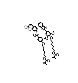 C=C(C)C(=O)OCCCCCCOc1c(OC)cc(-c2nc3ccccc3s2)cc1OC.C=C(C)C(=O)OCCCCCCOc1ccc(C(=O)Oc2ccc3ccc(=O)oc3c2)cc1